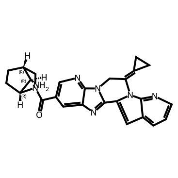 N[C@@H]1[C@@H]2CC[C@H]1N(C(=O)c1cnc3c(c1)nc1n3CC(=C3CC3)n3c-1cc1cccnc13)C2